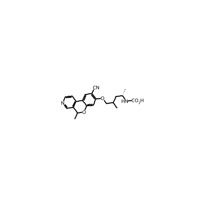 CC(COc1cc2c(cc1C#N)-c1ccncc1C(C)O2)C[C@H](C)NC(=O)O